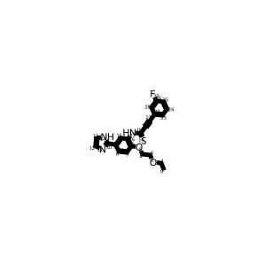 CCOCCOc1ccc(-c2ncc[nH]2)cc1NC(=S)C#Cc1cccc(F)c1